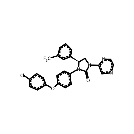 O=C1N(c2cnccn2)C[C@H](c2cccc(C(F)(F)F)c2)N1c1ccc(Oc2ccc(Cl)cc2)cc1